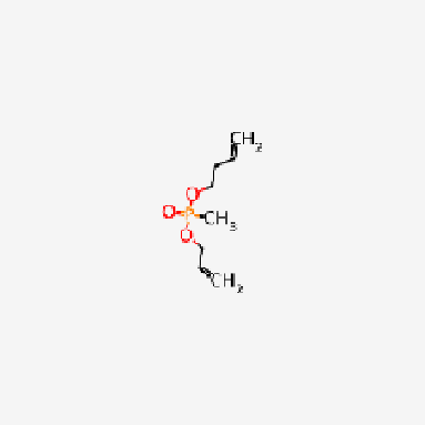 C=CCCOP(C)(=O)OCC=C